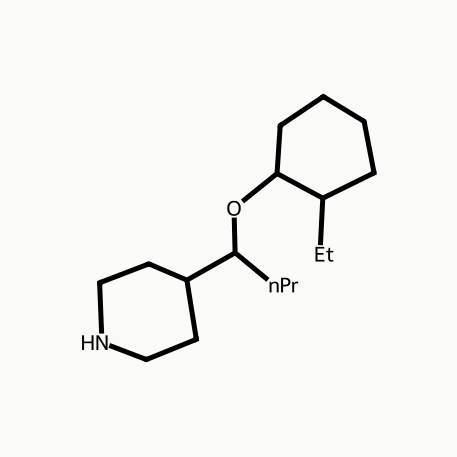 CCCC(OC1CCCCC1CC)C1CCNCC1